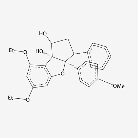 CCOc1cc(OCC)c2c(c1)O[C@]1(c3ccc(OC)cc3)C(c3ccccc3)CC(O)[C@]21O